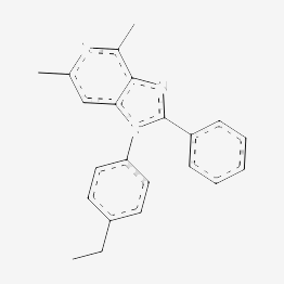 [CH2]Cc1ccc(-n2c(-c3ccccc3)nc3c(C)nc(C)cc32)cc1